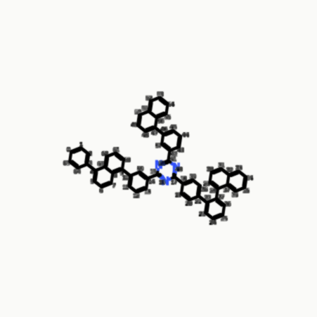 c1ccc(-c2cccc3c(-c4cccc(-c5nc(-c6ccc(-c7ccccc7-c7cccc8ccccc78)cc6)nc(-c6cccc(-c7cccc8ccccc78)c6)n5)c4)cccc23)cc1